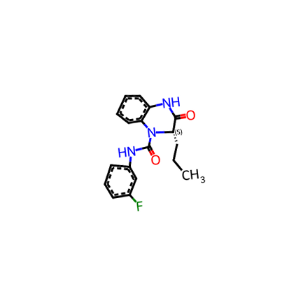 CCC[C@H]1C(=O)Nc2ccccc2N1C(=O)Nc1cccc(F)c1